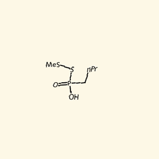 CCCCP(=O)(O)SSC